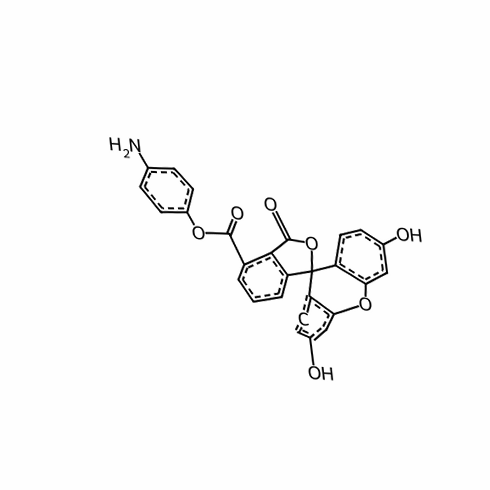 Nc1ccc(OC(=O)c2cccc3c2C(=O)OC32c3ccc(O)cc3Oc3cc(O)ccc32)cc1